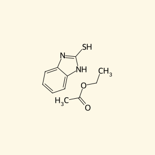 CCOC(C)=O.Sc1nc2ccccc2[nH]1